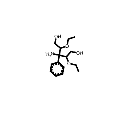 CCOC(CO)C(N)(c1ccccc1)C(CO)OCC